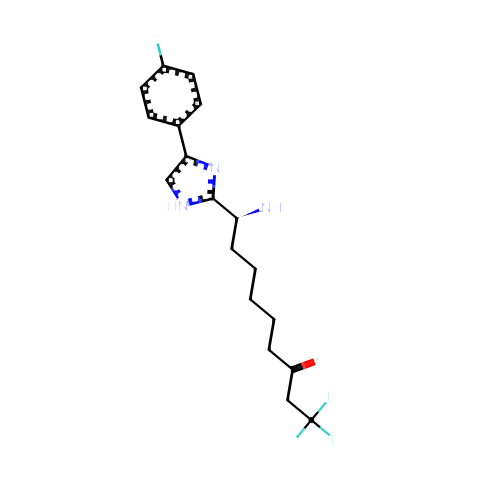 N[C@@H](CCCCCC(=O)CC(F)(F)F)c1nc(-c2ccc(F)cc2)c[nH]1